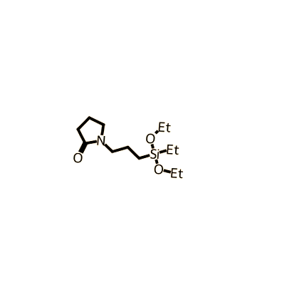 CCO[Si](CC)(CCCN1CCCC1=O)OCC